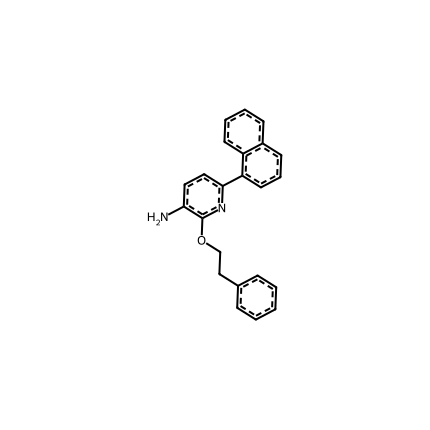 Nc1ccc(-c2cccc3ccccc23)nc1OCCc1ccccc1